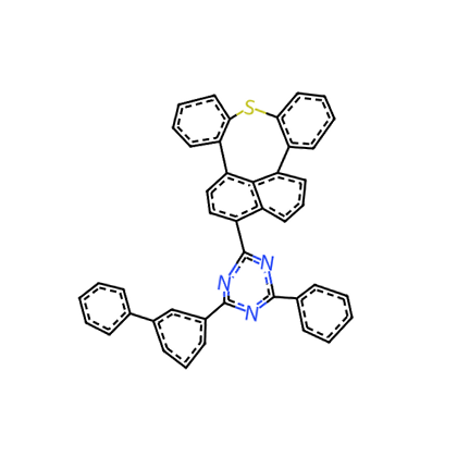 c1ccc(-c2cccc(-c3nc(-c4ccccc4)nc(-c4ccc5c6c(cccc46)-c4ccccc4Sc4ccccc4-5)n3)c2)cc1